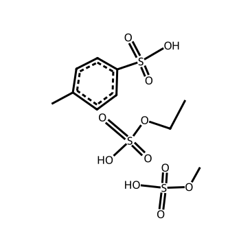 CCOS(=O)(=O)O.COS(=O)(=O)O.Cc1ccc(S(=O)(=O)O)cc1